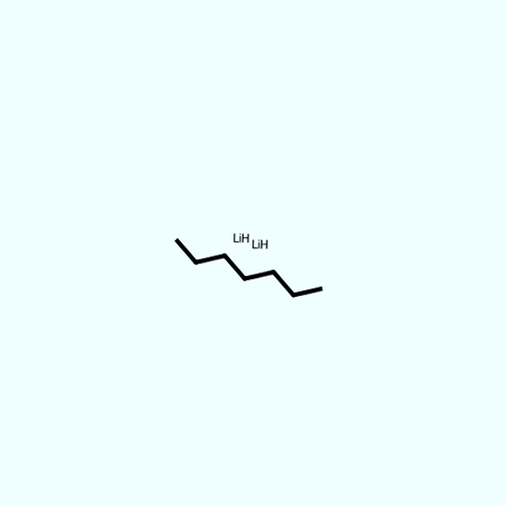 CCCCCCC.[LiH].[LiH]